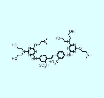 CN(C)CCOc1nc(Nc2ccc(/C=C/c3ccc(Nc4nc(OCCN(C)C)nc(N(CCO)CCO)n4)cc3S(=O)(=O)O)c(S(=O)(=O)O)c2)nc(N(CCO)CCO)n1